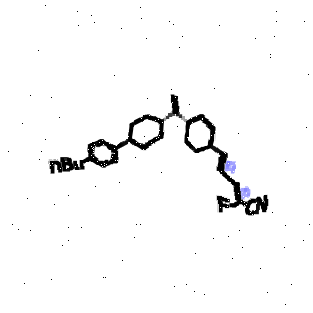 C=C([C@H]1CC[C@H](/C=C/C=C(\F)C#N)CC1)[C@H]1CC[C@H](c2ccc(CCCC)cc2)CC1